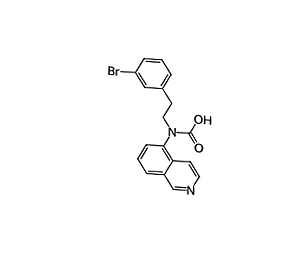 O=C(O)N(CCc1cccc(Br)c1)c1cccc2cnccc12